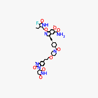 CCC1C(COc2ncc(C#C[C@H]3CC[C@H](C(=O)N4CCC(OCCCc5ccc6c(c5)n(C)c(=O)n6C5CCC(=O)NC5=O)CC4)CC3)c3cc(C(N)=O)c(OC)cc23)NC(=O)C1F